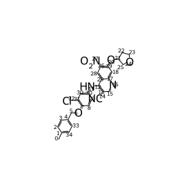 Cc1ccc(COc2ccc(Nc3c(C#N)cnc4cc(OC5CCOC5)c([N+](=O)[O-])cc34)cc2Cl)cc1